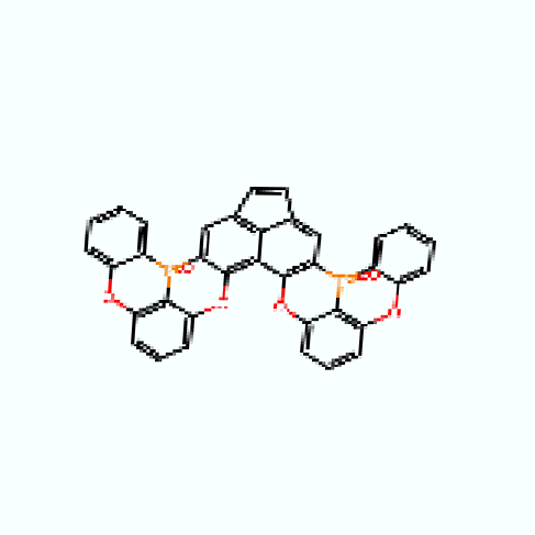 O=P12c3ccccc3Oc3cccc(c31)Oc1c2cc2c3c(cc4c(c13)Oc1cccc3c1P4(=O)c1ccccc1O3)C=C2